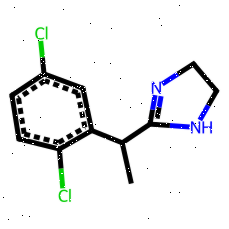 CC(C1=NCCN1)c1cc(Cl)ccc1Cl